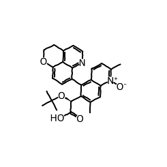 Cc1cc2c(ccc(C)[n+]2[O-])c(-c2ccc3c4c(ccnc24)CCO3)c1[C@H](OC(C)(C)C)C(=O)O